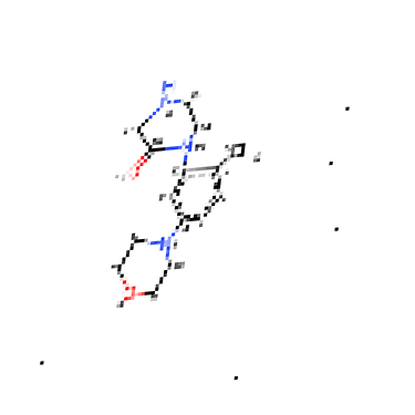 Cc1ccc(N2CCOCC2)cc1N1CCNCC1=O